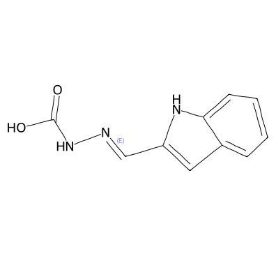 O=C(O)N/N=C/c1cc2ccccc2[nH]1